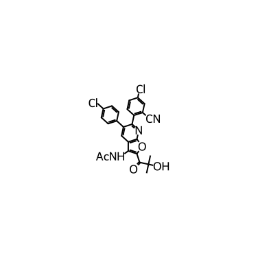 CC(=O)Nc1c(C(=O)C(C)(C)O)oc2nc(-c3ccc(Cl)cc3C#N)c(-c3ccc(Cl)cc3)cc12